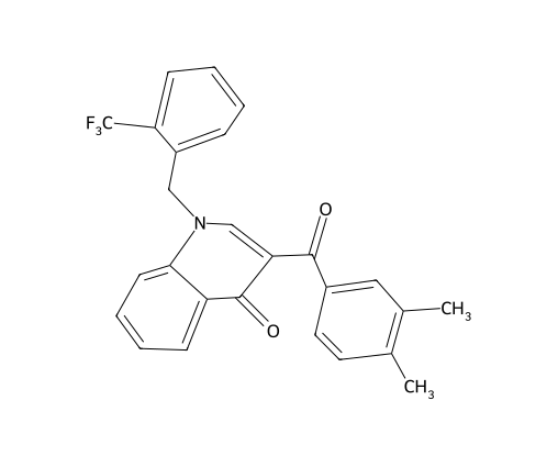 Cc1ccc(C(=O)c2cn(Cc3ccccc3C(F)(F)F)c3ccccc3c2=O)cc1C